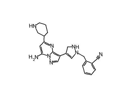 N#Cc1ccccc1CN1C=C(c2cnn3c(N)cc(C4CCCNC4)nc23)CN1